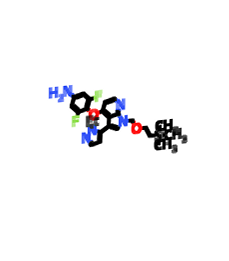 CCn1nccc1-c1cn(COCC[Si](C)(C)C)c2nccc(Oc3c(F)cc(N)cc3F)c12